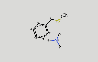 CN(C)C.N#CSCc1ccccc1